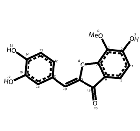 COc1c(O)ccc2c1O/C(=C\c1ccc(O)c(O)c1)C2=O